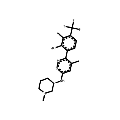 Cc1cc(N[C@@H]2CCCN(C)C2)nnc1-c1ccc(C(F)(F)F)c(C)c1O